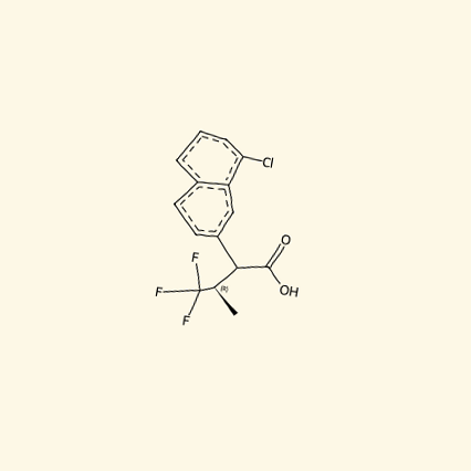 C[C@H](C(C(=O)O)c1ccc2cccc(Cl)c2c1)C(F)(F)F